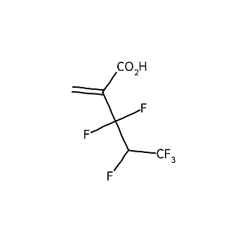 C=C(C(=O)O)C(F)(F)C(F)C(F)(F)F